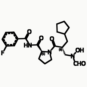 O=CN(O)C[C@@H](CC1CCCC1)C(=O)N1CCC[C@H]1C(=O)NC(=O)c1cccc(F)c1